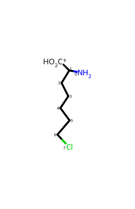 NC(CCCCCCl)C(=O)O